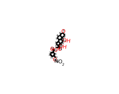 CC12CCC(=O)C=C1CCC1C2C(O)CC2(C)C1CCC2(O)C(=O)COC(=O)c1cccc(CO[N+](=O)[O-])c1